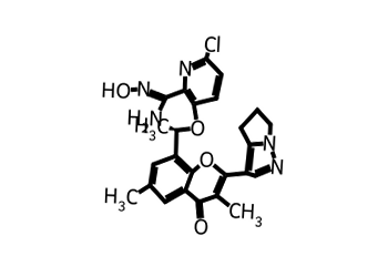 Cc1cc([C@@H](C)Oc2ccc(Cl)nc2C(N)=NO)c2oc(-c3cnn4c3CCC4)c(C)c(=O)c2c1